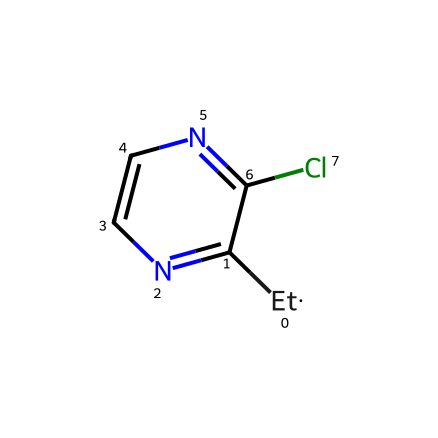 C[CH]c1nccnc1Cl